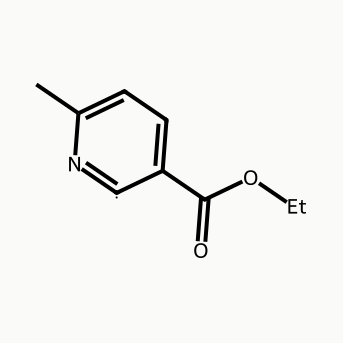 CCOC(=O)c1[c]nc(C)cc1